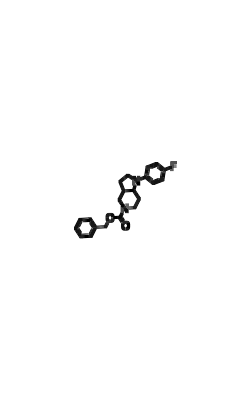 O=C(OCc1ccccc1)N1CCC2C(CCN2c2ccc(F)cc2)C1